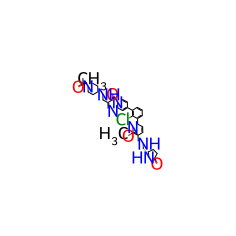 COc1nc(-c2cccc(-c3ccn4c(=O)c(CNC5CCN(C(C)=O)CC5)cnc4c3)c2Cl)ccc1CNC[C@@H]1CCC(=O)N1